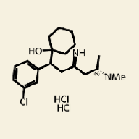 CN[C@@H](C)CC(=N)CC(c1cccc(Cl)c1)C1(O)CCCCC1.Cl.Cl